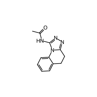 CC(=O)Nc1nnc2n1-c1ccccc1CC2